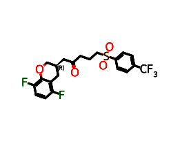 O=C(CCCS(=O)(=O)c1ccc(C(F)(F)F)cc1)C[C@@H]1COc2c(F)ccc(F)c2C1